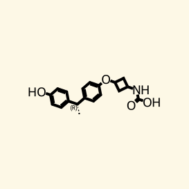 C[C@H](c1ccc(O)cc1)c1ccc(OC2CC(NC(=O)O)C2)cc1